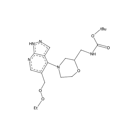 CCOOCc1cnc2[nH]ncc2c1N1CCOC(CNC(=O)OC(C)(C)C)C1